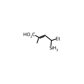 CCC([SiH3])C=C(C)C(=O)O